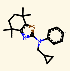 CC1(C)CCC(C)(C)c2sc(N(CC3CC3)c3cc[c]cc3)nc21